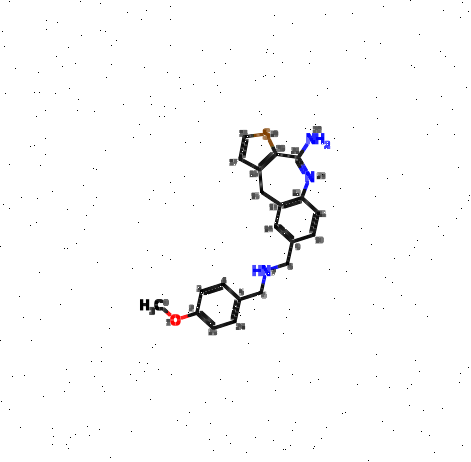 COc1ccc(CNCc2ccc3c(c2)Cc2ccsc2C(N)=N3)cc1